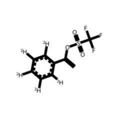 [2H]c1c([2H])c([2H])c(C(=C)OS(=O)(=O)C(F)(F)F)c([2H])c1[2H]